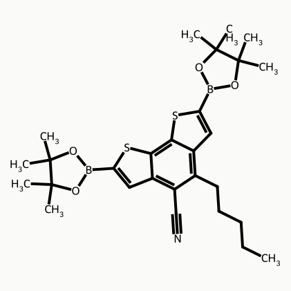 CCCCCc1c(C#N)c2cc(B3OC(C)(C)C(C)(C)O3)sc2c2sc(B3OC(C)(C)C(C)(C)O3)cc12